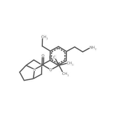 CCc1cc(CCN)ccc1N1CC2CCC(C1)N2C(=O)OC(C)(C)C